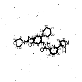 O=C(Nc1cc2oc(N3CCOCC3)nc2cc1N1CCCCC1)c1cccc(-c2ccn[nH]2)n1